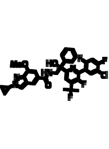 COc1cc(C(=O)NC[C@@](O)(c2ccccc2)c2cc(C(C)(C)F)c(F)c(-c3cc(Cl)c(F)cc3F)n2)cc2cn(C3CC3)nc12